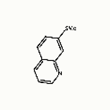 CSc1ccc2cccnc2c1